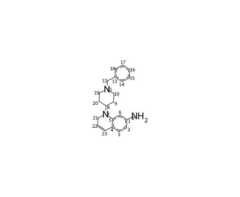 Nc1ccc2c(c1)N(C1CCN(Cc3ccccc3)CC1)CC=C2